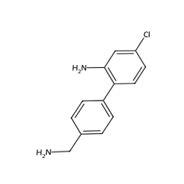 NCc1ccc(-c2ccc(Cl)cc2N)cc1